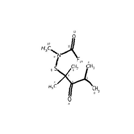 CC(C)C(=O)C(C)(C)SN(C)C(=O)F